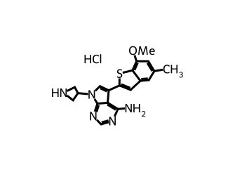 COc1cc(C)cc2cc(-c3cn(C4CNC4)c4ncnc(N)c34)sc12.Cl